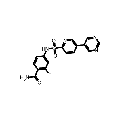 NC(=O)c1ccc(NS(=O)(=O)c2ccc(-c3cncnc3)cn2)cc1F